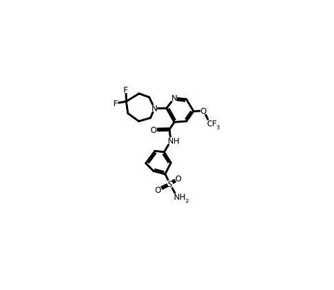 NS(=O)(=O)c1cccc(NC(=O)c2cc(OC(F)(F)F)cnc2N2CCCC(F)(F)CC2)c1